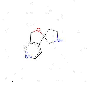 c1cc2c(cn1)COC21CCNC1